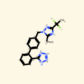 CCCCCc1nc(C(C)(F)F)nn1Cc1ccc(-c2ccccc2-c2nnn[nH]2)cc1